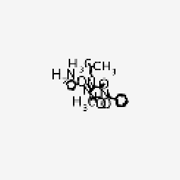 CC(C)=CCn1c(OC2CCCC2N)nc2c1c(=O)n(CC(=O)c1ccccc1)c(=O)n2C